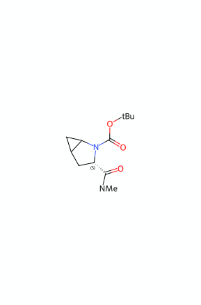 CNC(=O)[C@@H]1CC2CC2N1C(=O)OC(C)(C)C